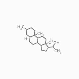 C[C@H]1CC[C@]2(C)C3CC[C@@]4(C)C(CC[C@@H]4[C@H](C)O)C3CC[C@H]2C1